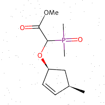 COC(=O)C(O[C@@H]1C=C[C@H](C)C1)P(C)(C)=O